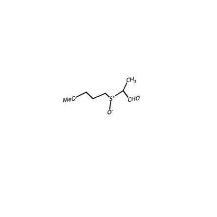 COCCC[S+]([O-])C(C)C=O